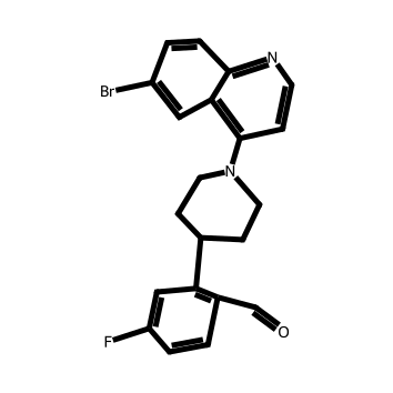 O=Cc1ccc(F)cc1C1CCN(c2ccnc3ccc(Br)cc23)CC1